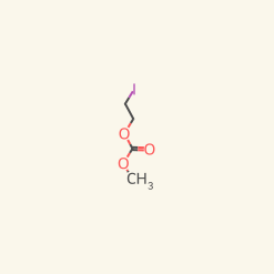 COC(=O)OCCI